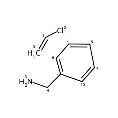 C=CCl.NCc1ccccc1